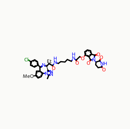 CC[C@@H](C(=O)NCCCCCNC(=O)COc1cccc2c1C(=O)N(C1CCC(=O)NC1=O)C2=O)[C@@H]1N=C(c2ccc(Cl)cc2)c2cc(OC)ccc2-n2c(C)nnc21